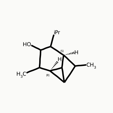 CC(C)C1C(O)C(C)[C@@H]2C3C(C)[C@H]1C32